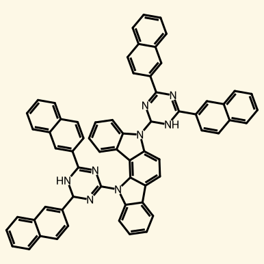 c1ccc2cc(C3=NC(n4c5ccccc5c5c6c(ccc54)c4ccccc4n6C4=NC(c5ccc6ccccc6c5)NC(c5ccc6ccccc6c5)=N4)NC(c4ccc5ccccc5c4)=N3)ccc2c1